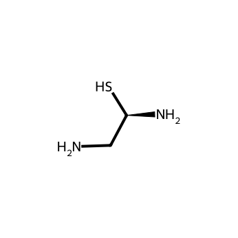 NC[C@H](N)S